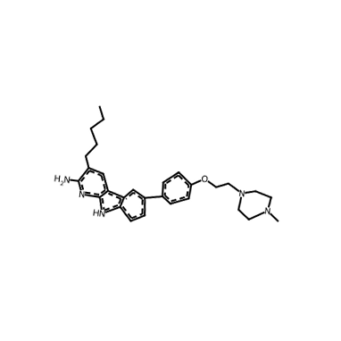 CCCCCc1cc2c(nc1N)[nH]c1ccc(-c3ccc(OCCN4CCN(C)CC4)cc3)cc12